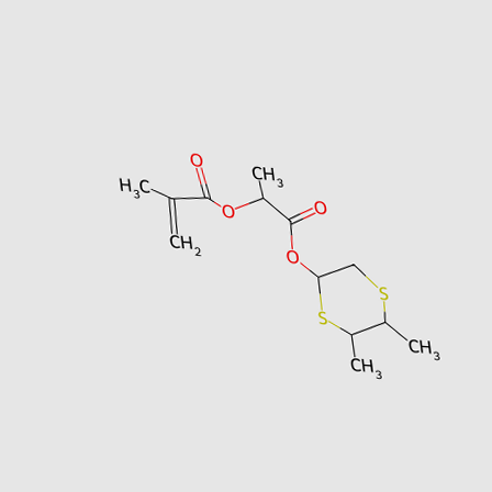 C=C(C)C(=O)OC(C)C(=O)OC1CSC(C)C(C)S1